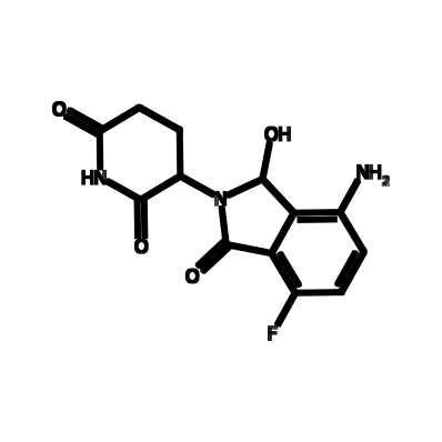 Nc1ccc(F)c2c1C(O)N(C1CCC(=O)NC1=O)C2=O